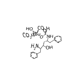 CC(C)(C)OC(=O)NC(Cc1ccccc1)CC(O)C(N)Cc1ccccc1.O=C(O)CC(O)C(=O)O